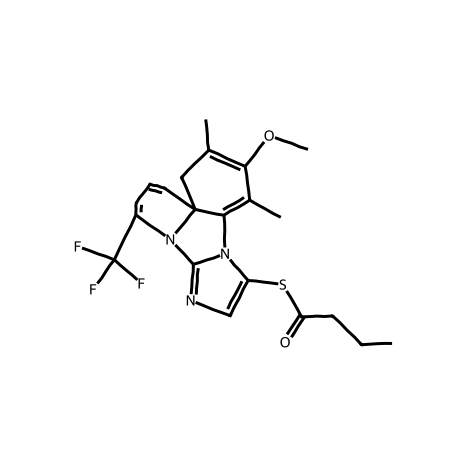 CCCC(=O)Sc1cnc2n1C1=C(C)C(OC)=C(C)CC13C=CC=C(C(F)(F)F)N23